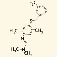 Cc1cc(SCc2cccc(C(F)(F)F)c2)c(C)cc1N=CN(C)C